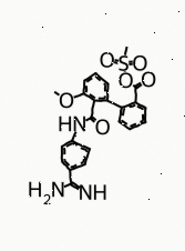 COc1cccc(-c2ccccc2C(=O)OS(C)(=O)=O)c1C(=O)Nc1ccc(C(=N)N)cc1